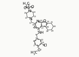 COc1ccc(CNc2nc(CN3CCN(S(C)(=O)=O)CC3)nc3oc4c(c23)CCCC4)cc1Cl